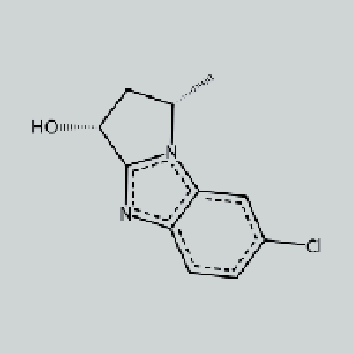 C[C@H]1C[C@@H](O)c2nc3ccc(Cl)cc3n21